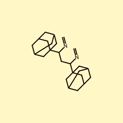 C=NC(CC(N=C)C12CC3CC(CC(C3)C1)C2)C12CC3CC(CC(C3)C1)C2